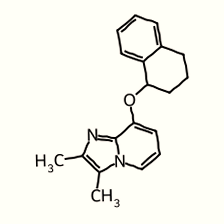 Cc1nc2c(OC3CCCc4ccccc43)cccn2c1C